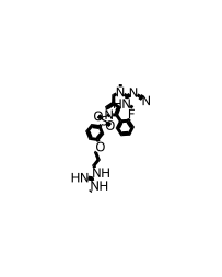 CNC(=N)NCCCOc1cccc(S(=O)(=O)n2cc(CN(C)/C(=N/C#N)NC)cc2-c2ccccc2F)c1